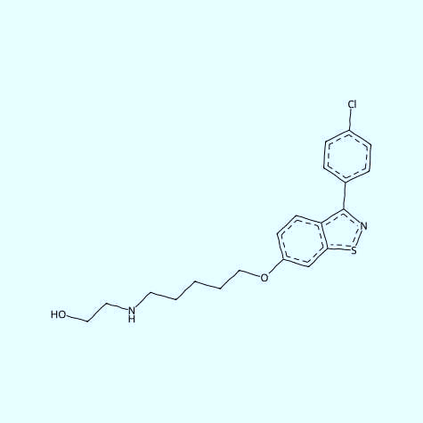 OCCNCCCCCOc1ccc2c(-c3ccc(Cl)cc3)nsc2c1